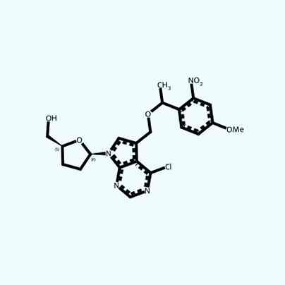 COc1ccc(C(C)OCc2cn([C@H]3CC[C@@H](CO)O3)c3ncnc(Cl)c23)c([N+](=O)[O-])c1